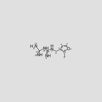 Cc1occc1CNC(=N)NC(=N)N